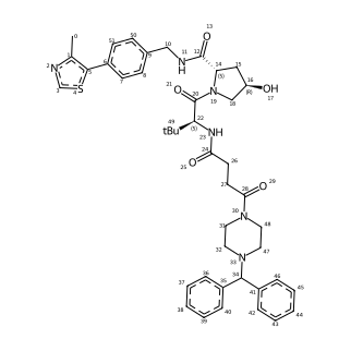 Cc1ncsc1-c1ccc(CNC(=O)[C@@H]2C[C@@H](O)CN2C(=O)[C@@H](NC(=O)CCC(=O)N2CCN(C(c3ccccc3)c3ccccc3)CC2)C(C)(C)C)cc1